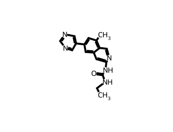 CCNC(=O)Nc1cc2cc(-c3cncnc3)cc(C)c2cn1